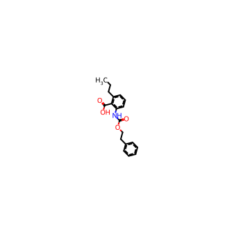 CCCc1cccc(NC(=O)OCCc2ccccc2)c1C(=O)O